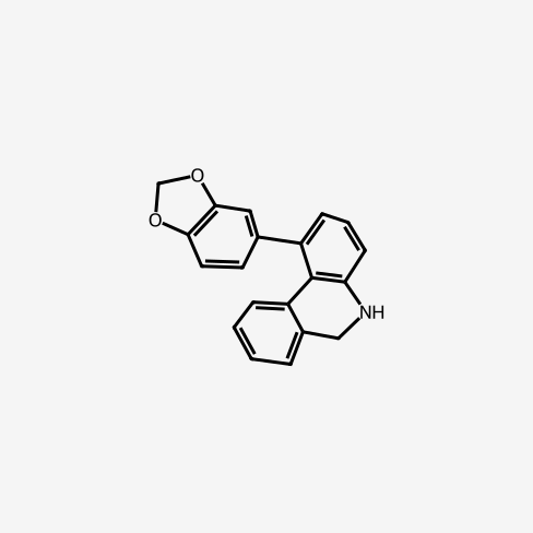 c1ccc2c(c1)CNc1cccc(-c3ccc4c(c3)OCO4)c1-2